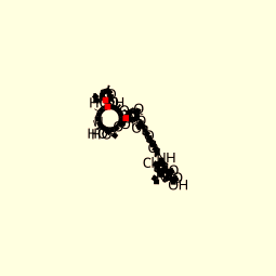 CC[C@H]1OC(=O)[C@H](C)[C@@H](O[C@H]2C[C@@](C)(OC)[C@@H](OC(=O)CCOCCOCCNc3cc4c(=O)c(C(=O)O)cn(C(C)C)c4cc3Cl)[C@H](C)O2)[C@H](C)[C@@H](O[C@@H]2O[C@H](C)C[C@H](N(C)C)[C@H]2O)[C@](C)(O)C[C@@H](C)CN(C)[C@H](C)[C@@H](O)[C@]1(C)O